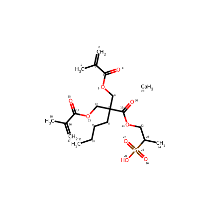 C=C(C)C(=O)OCC(CCCC)(COC(=O)C(=C)C)C(=O)OCC(C)S(=O)(=O)O.[CaH2]